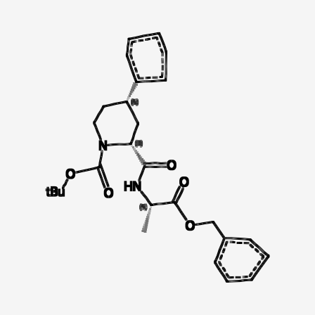 C[C@H](NC(=O)[C@H]1C[C@@H](c2ccccc2)CCN1C(=O)OC(C)(C)C)C(=O)OCc1ccccc1